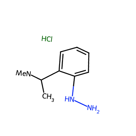 CNC(C)c1ccccc1NN.Cl